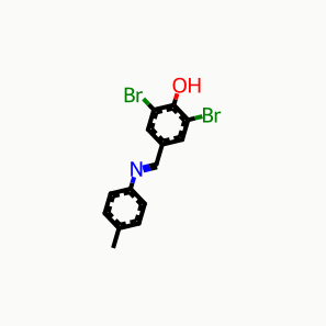 Cc1ccc(N=Cc2cc(Br)c(O)c(Br)c2)cc1